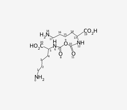 NCCCCC(NC(=O)OC(=O)NC(CCCCN)C(=O)O)C(=O)O